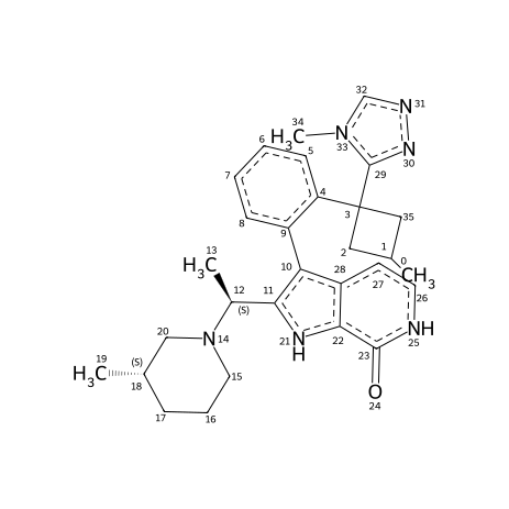 CC1CC(c2ccccc2-c2c([C@H](C)N3CCC[C@H](C)C3)[nH]c3c(=O)[nH]ccc23)(c2nncn2C)C1